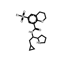 CCS(=O)(=O)c1cc2c(c(C(=O)NC(CC3CC3)C3CCCN3)c1)OCCC2